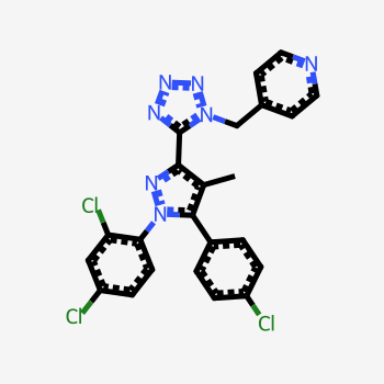 Cc1c(-c2nnnn2Cc2ccncc2)nn(-c2ccc(Cl)cc2Cl)c1-c1ccc(Cl)cc1